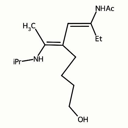 CC/C(=C\C(CCCCO)=C(/C)NC(C)C)NC(C)=O